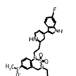 C[S+]([O-])c1ccc2c(c1)CN(CC1CC1)S(=O)(=O)N2CCC1CC(c2c[nH]c3cc(F)ccc23)=CCN1